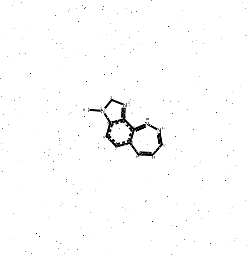 IN1CN=c2c1ccc1c2=NN=CC=C1